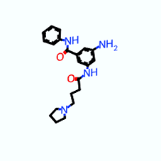 Nc1cc(NC(=O)CCCN2CCCC2)cc(C(=O)Nc2ccccc2)c1